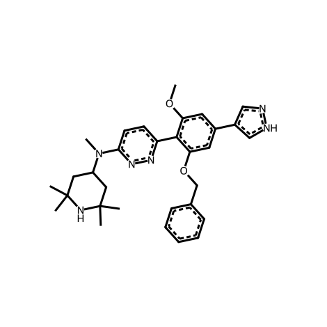 COc1cc(-c2cn[nH]c2)cc(OCc2ccccc2)c1-c1ccc(N(C)C2CC(C)(C)NC(C)(C)C2)nn1